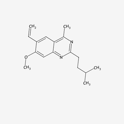 C=Cc1cc2c(C)nc(CCC(C)C)nc2cc1OC